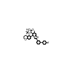 Cc1cc2nc(-c3cccc(-c4ccc(F)cc4)c3)cn2c(-c2ccc3c(c2)CCCO3)c1[C@H](OC(C)(C)C)C(=O)O